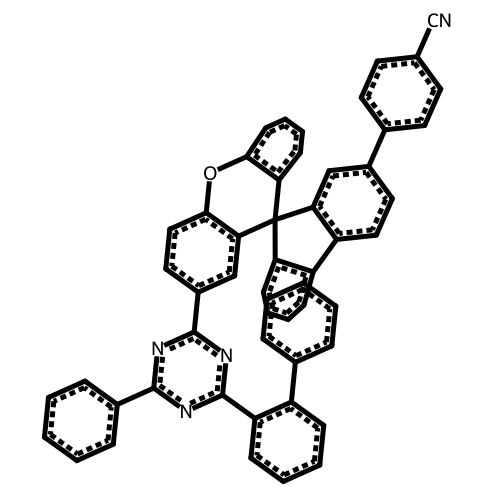 N#Cc1ccc(-c2ccc3c(c2)C2(c4ccccc4Oc4ccc(-c5nc(-c6ccccc6)nc(-c6ccccc6-c6ccccc6)n5)cc42)c2ccccc2-3)cc1